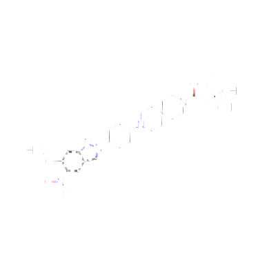 COc1cc2nn([C@H]3CC[C@H](N4CCC5(CCN(C(=O)OC(C)(C)C)CC5)CC4)CC3)cc2cc1[N+](=O)[O-]